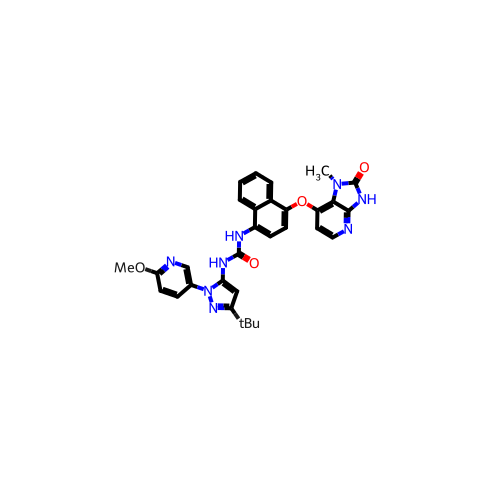 COc1ccc(-n2nc(C(C)(C)C)cc2NC(=O)Nc2ccc(Oc3ccnc4[nH]c(=O)n(C)c34)c3ccccc23)cn1